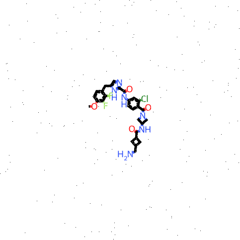 COc1ccc(Cc2cnc(C(=O)Nc3ccc(C(=O)N4CC(NC(=O)C5CC(CN)C5)C4)c(Cl)c3)[nH]2)c(F)c1F